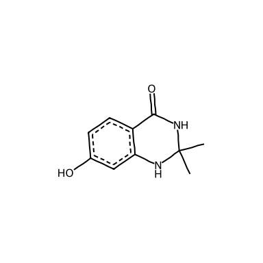 CC1(C)NC(=O)c2ccc(O)cc2N1